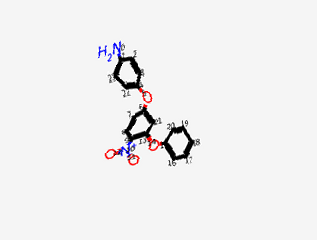 Nc1ccc(Oc2ccc([N+](=O)[O-])c(Oc3ccccc3)c2)cc1